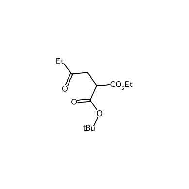 CCOC(=O)C(CC(=O)CC)C(=O)OC(C)(C)C